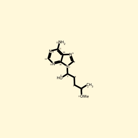 COC(C)CCC(O)n1cnc2c(N)ncnc21